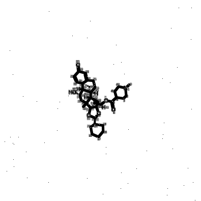 CN1CCC(C(=O)OCC(=O)[C@@]23O[C@H](C4CCCCC4)O[C@@H]2C[C@H]2[C@@H]4CCC5=CC(=O)C=C[C@]5(C)[C@H]4[C@@H](O)CC23C)CC1